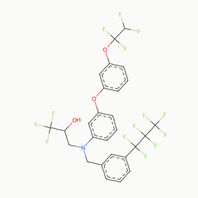 OC(CN(Cc1cccc(C(F)(F)C(F)(F)C(F)(F)F)c1)c1cccc(Oc2cccc(OC(F)(F)C(F)F)c2)c1)C(F)(F)F